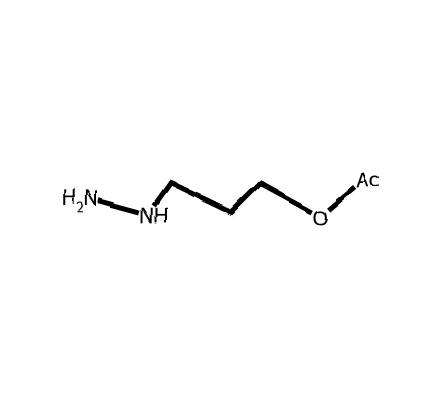 CC(=O)OCCCNN